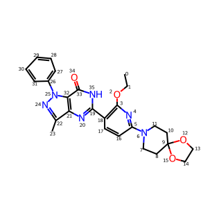 CCOc1nc(N2CCC3(CC2)OCCO3)ccc1-c1nc2c(C)nn(-c3ccccc3)c2c(=O)[nH]1